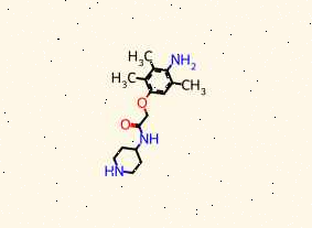 Cc1cc(OCC(=O)NC2CCNCC2)c(C)c(C)c1N